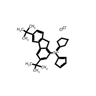 CC(C)(C)c1ccc2c(c1)-c1cc(C(C)(C)C)c[c]([Ti+2]([C]3=CC=CC3)=[C]3CCCC3)c1C2.[Cl-].[Cl-]